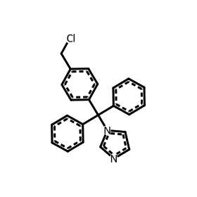 ClCc1ccc(C(c2ccccc2)(c2ccccc2)n2ccnc2)cc1